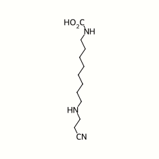 N#CCCNCCCCCCCCNC(=O)O